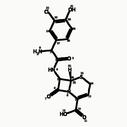 NC(C(=O)NC1C(=O)N2C(C(=O)O)=CCS[C@@H]12)c1ccc(O)c(Cl)c1